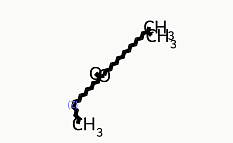 CCCC/C=C\CCCCCCCC(=O)OCCCCCCCCCCCCCC(C)C